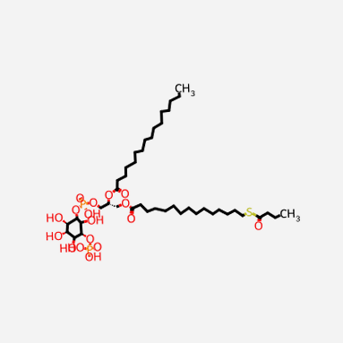 CCCCCCCCCCCCCCCC(=O)O[C@H](COC(=O)CCCCCCCCCCCCCCSC(=O)CCC)COP(=O)(O)OC1C(O)[C@@H](OP(=O)(O)O)C(O)[C@@H](O)[C@H]1O